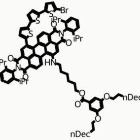 CCCCCCCCCCCCOc1cc(OCCCCCCCCCCCC)cc(C(=O)OCCCCCCNc2cc3c4c(ccc5c6c(-c7ccc(-c8ccc(-c9ccc(Br)s9)s8)s7)cc7c8c(ccc(c2c45)c86)C(=O)N(c2c(C(C)C)cccc2C(C)C)C7=O)C(=O)N(c2c(C(C)C)cccc2C(C)C)C3=O)c1